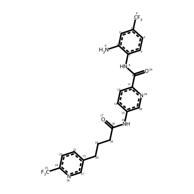 Nc1cc(C(F)(F)F)ccc1NC(=O)c1ccc(NC(=O)CCCc2ccc(C(F)(F)F)nc2)cn1